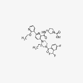 CCOc1ncccc1-c1ccc(N2CCN(C(=O)c3ccc(F)cc3C(F)F)C[C@H]2CC)c(C(=O)N[C@@H]2CCN(C(=O)O)C2)n1